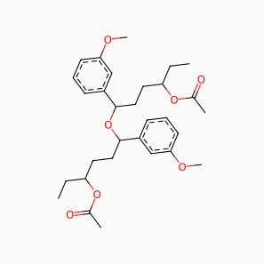 CCC(CCC(OC(CCC(CC)OC(C)=O)c1cccc(OC)c1)c1cccc(OC)c1)OC(C)=O